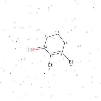 CCC1=C(CC)C(=O)CCC1